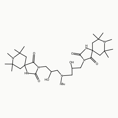 CCCCN(CC(O)CN1C(=O)NC2(CC(C)(C)N(C)C(C)(C)C2)C1=O)CC(O)CN1C(=O)NC2(CC(C)(C)N(C)C(C)(C)C2)C1=O